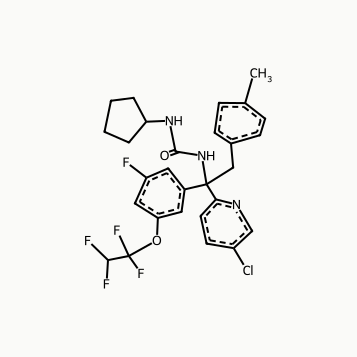 Cc1ccc(CC(NC(=O)NC2CCCC2)(c2cc(F)cc(OC(F)(F)C(F)F)c2)c2ccc(Cl)cn2)cc1